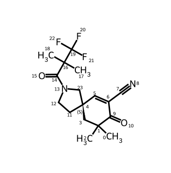 CC1(C)C[C@@]2(C=C(C#N)C1=O)CCN(C(=O)C(C)(C)C(F)(F)F)C2